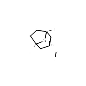 CN1[C@@H]2CC[C@H]1C[C@@H](CI)C2